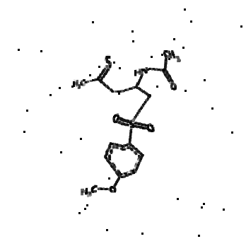 COc1ccc(S(=O)(=O)CC(CC(C)=S)NC(C)=O)cc1